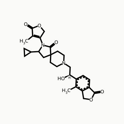 CC1=C(N2C(=O)C3(CCN(C[C@H](O)c4ccc5c(c4C)COC5=O)CC3)CC2C2CC2)COC1=O